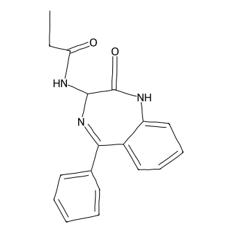 CCC(=O)NC1N=C(c2ccccc2)c2ccccc2NC1=O